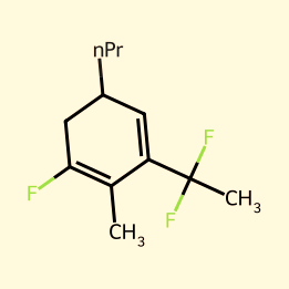 CCCC1C=C(C(C)(F)F)C(C)=C(F)C1